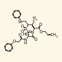 C=CCOC(=O)C1=C(C)C(C[Se]c2ccccc2)S(=O)(=O)[C@H]2[C@H](NC(=O)COc3ccccc3)C(=O)N12